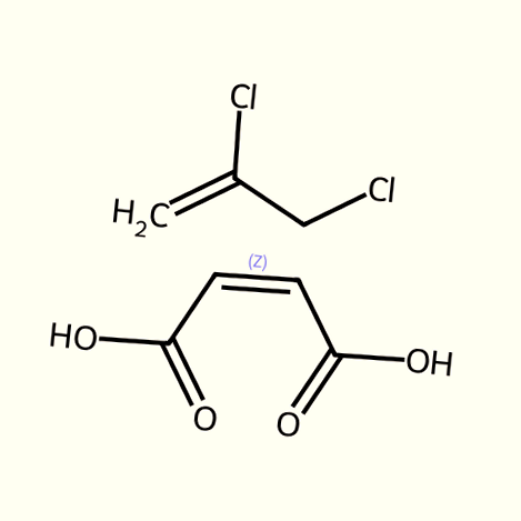 C=C(Cl)CCl.O=C(O)/C=C\C(=O)O